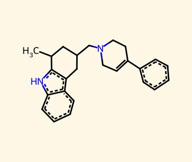 CC1CC(CN2CC=C(c3ccccc3)CC2)Cc2c1[nH]c1ccccc21